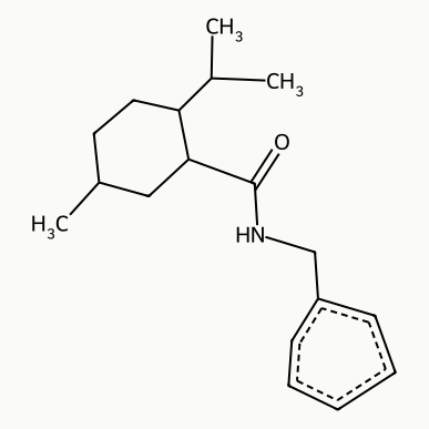 CC1CCC(C(C)C)C(C(=O)NCc2ccccc2)C1